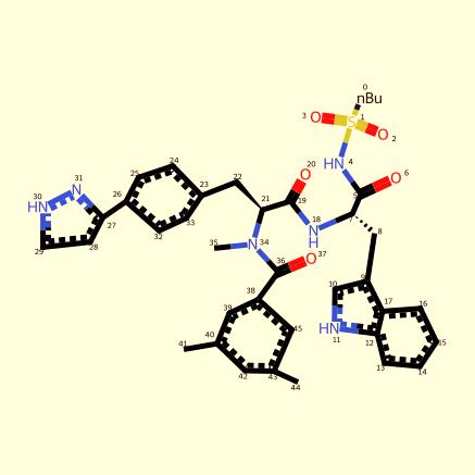 CCCCS(=O)(=O)NC(=O)[C@H](Cc1c[nH]c2ccccc12)NC(=O)[C@H](Cc1ccc(-c2cc[nH]n2)cc1)N(C)C(=O)c1cc(C)cc(C)c1